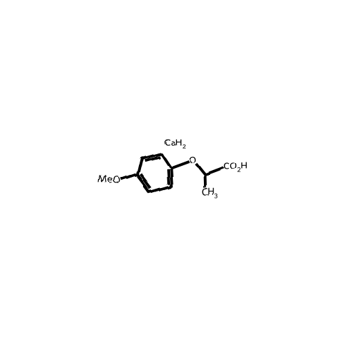 COc1ccc(OC(C)C(=O)O)cc1.[CaH2]